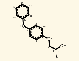 C[C@@H](O)COc1ccc(Oc2ccccc2)cc1